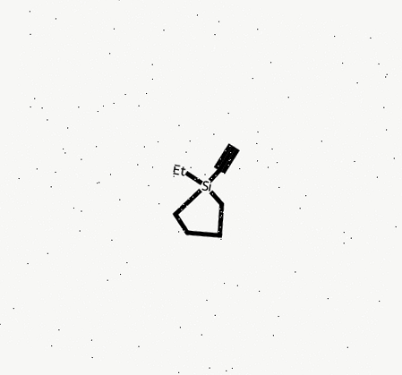 C#C[Si]1(CC)CCCC1